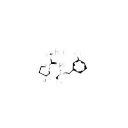 CC(C)(C)OC(=O)N1CC[C@H](F)[C@H]1C(=O)NCc1cccc(Cl)c1